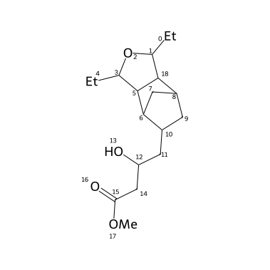 CCC1OC(CC)C2C3CC(CC3CC(O)CC(=O)OC)C12